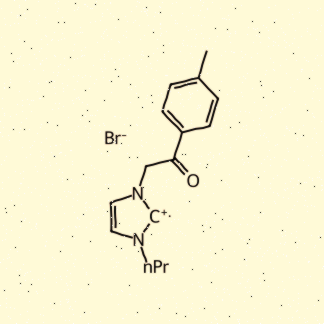 CCCN1[C+]N(CC(=O)c2ccc(C)cc2)C=C1.[Br-]